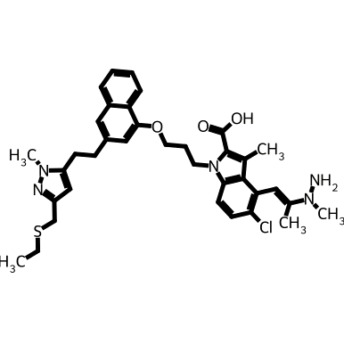 CCSCc1cc(CCc2cc(OCCCn3c(C(=O)O)c(C)c4c(/C=C(\C)N(C)N)c(Cl)ccc43)c3ccccc3c2)n(C)n1